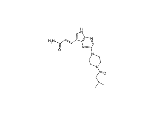 CC(C)CC(=O)N1CCN(c2cnc3[nH]cc(C=CC(N)=O)c3n2)CC1